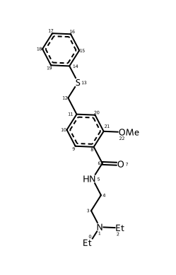 CCN(CC)CCNC(=O)c1ccc(CSc2ccccc2)cc1OC